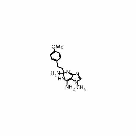 COc1ccc(CCC2(N)N=c3ncn(C)c3=C(N)N2)cc1